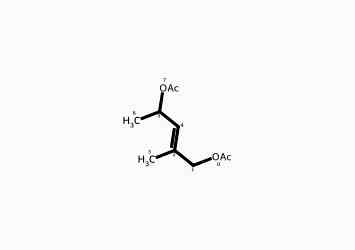 CC(=O)OCC(C)=CC(C)OC(C)=O